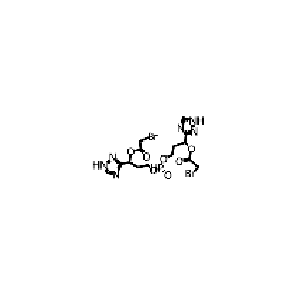 O=C(CBr)OC(CCO[PH](=O)OCCC(OC(=O)CBr)c1nc[nH]n1)c1nc[nH]n1